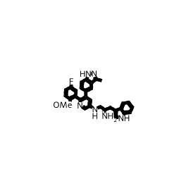 COc1ccc(F)cc1-c1ncc(NC[C@@H](N)Cc2c[nH]c3ccccc23)cc1-c1ccc2[nH]nc(C)c2c1